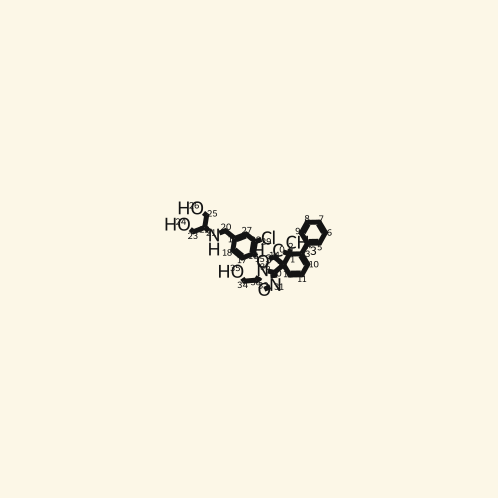 CC1(C)C(c2ccccc2)=CC=CC1(COc1ccc(CNC(CO)CO)cc1Cl)c1noc(CO)n1